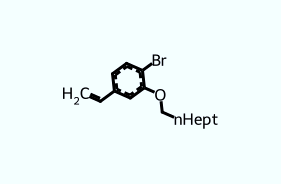 C=Cc1ccc(Br)c(OCCCCCCCC)c1